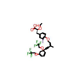 CCO[C@@H](Cc1ccc(OCC=C(C)C#CC2(OCC(F)(F)F)C=CC=C(OCC(F)(F)F)C2)c(I)c1)C(=O)O